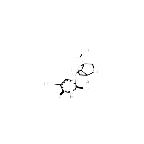 Cc1cn([C@@H]2O[C@@]3(CO)CN[C@@H]2[C@@H]3O)c(=O)[nH]c1=O